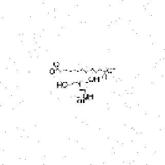 O=C([O-])CCCCCCCCCCC(=O)[O-].OCCN(CCO)CCO.[Zn+2]